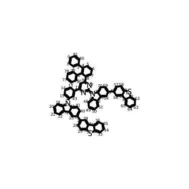 c1ccc(-c2cccc(-c3cc(-c4cccc(-n5c6ccccc6c6cc(-c7ccc8sc9ccccc9c8c7)ccc65)c4)nc(-n4c5ccccc5c5cc(-c6ccc7sc8ccccc8c7c6)ccc54)n3)c2-c2ccccc2)cc1